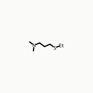 [CH2]CSCCCN(C)C